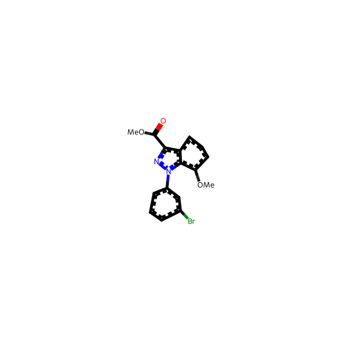 COC(=O)c1nn(-c2cccc(Br)c2)c2c(OC)cccc12